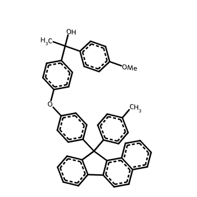 COc1ccc(C(C)(O)c2ccc(Oc3ccc(C4(c5ccc(C)cc5)c5ccccc5-c5ccc6ccccc6c54)cc3)cc2)cc1